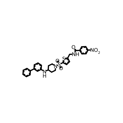 O=C(NCc1ccc(S(=O)(=O)N2CCC(Nc3cccc(-c4ccccc4)c3)CC2)s1)c1ccc([N+](=O)[O-])cc1